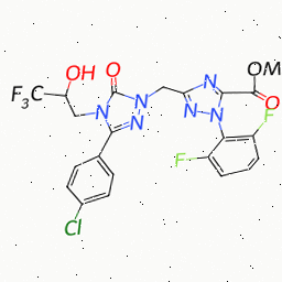 COC(=O)c1nc(Cn2nc(-c3ccc(Cl)cc3)n(CC(O)C(F)(F)F)c2=O)nn1-c1c(F)cccc1F